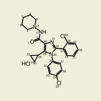 Cl.O=C(NN1CCCCC1)c1nc(-c2ccccc2Cl)n(-c2ccc(Cl)cc2)c1C1CC1